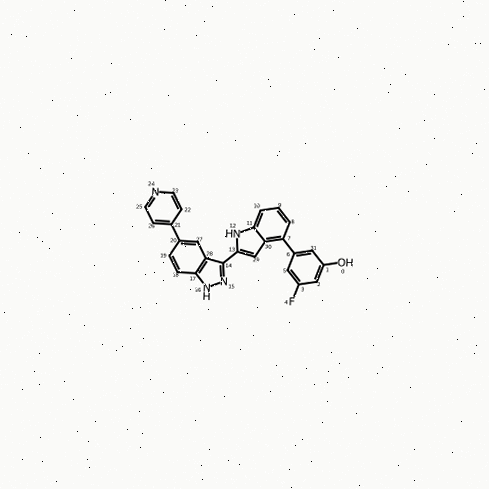 Oc1cc(F)cc(-c2cccc3[nH]c(-c4n[nH]c5ccc(-c6ccncc6)cc45)cc23)c1